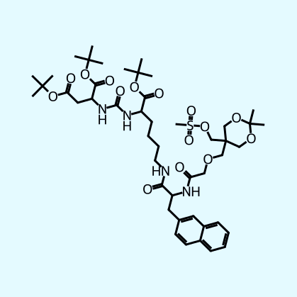 CC(C)(C)OC(=O)CC(NC(=O)NC(CCCCNC(=O)C(Cc1ccc2ccccc2c1)NC(=O)COCC1(COS(C)(=O)=O)COC(C)(C)OC1)C(=O)OC(C)(C)C)C(=O)OC(C)(C)C